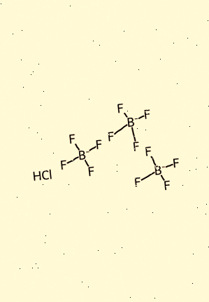 Cl.F[B-](F)(F)F.F[B-](F)(F)F.F[B-](F)(F)F